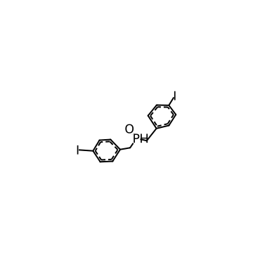 O=[PH](Cc1ccc(I)cc1)Cc1ccc(I)cc1